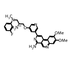 COc1cc2ncc3c(N)nc(-c4cncc(OC[C@@H](N)CN(C)c5cccc(F)c5)c4)cc3c2cc1OC